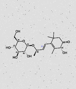 CC1=C(/C=C/[C@@H](C)O[C@@H]2O[C@H](CO)[C@@H](O)[C@H](O)[C@H]2O)C(C)(C)CC(=O)[C@@H]1O